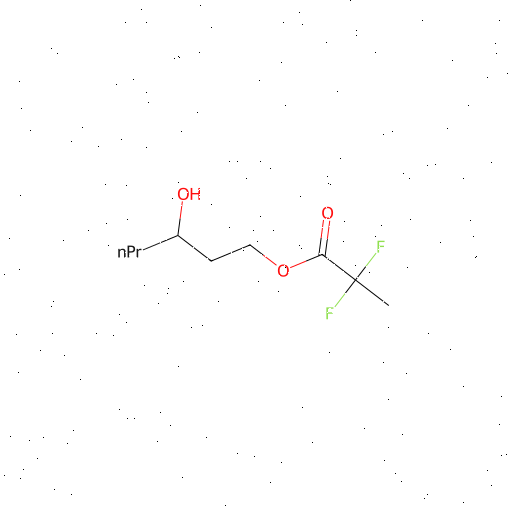 CCCC(O)CCOC(=O)C(C)(F)F